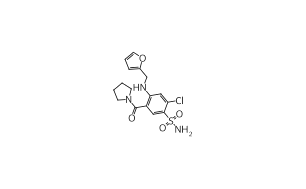 NS(=O)(=O)c1cc(C(=O)N2CCCC2)c(NCc2ccco2)cc1Cl